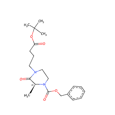 C[C@H]1C(=O)N(CCCC(=O)OC(C)(C)C)CCN1C(=O)OCc1ccccc1